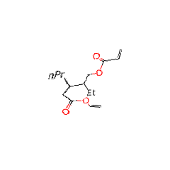 C=COC(=O)CC(CCC)C(CC)COC(=O)C=C